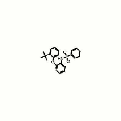 CC(C)(C)c1ccccc1Oc1ncccc1NS(=O)(=O)c1ccccc1